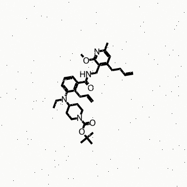 C=CCCc1cc(C)nc(OC)c1CNC(=O)c1cccc(N(CC)C2CCN(C(=O)OC(C)(C)C)CC2)c1CC=C